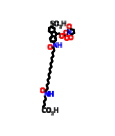 O=C(O)CCCCCNC(=O)CCCCCCCCCCCCCCCC(=O)Nc1ccc2c(c1)C(COC(=O)ON1C(=O)CCC1=O)c1cc(S(=O)(=O)O)ccc1-2